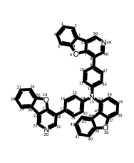 c1ccc2c(c1)oc1c(-c3ccc(N(c4ccc(-c5cncc6c5oc5ccccc56)cc4)c4cccc5oc6ccccc6c45)cc3)cncc12